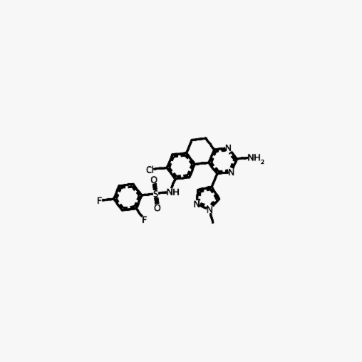 Cn1cc(-c2nc(N)nc3c2-c2cc(NS(=O)(=O)c4ccc(F)cc4F)c(Cl)cc2CC3)cn1